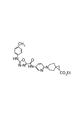 CCOC(=O)C1CC12CCN(c1ccc(NC(=O)c3nnc(Nc4ccc(C)cc4)o3)cn1)CC2